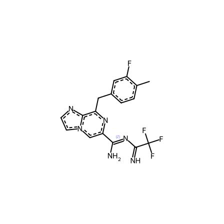 Cc1ccc(Cc2nc(/C(N)=N/C(=N)C(F)(F)F)cn3ccnc23)cc1F